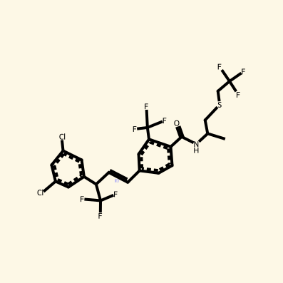 CC(CSCC(F)(F)F)NC(=O)c1ccc(/C=C/C(c2cc(Cl)cc(Cl)c2)C(F)(F)F)cc1C(F)(F)F